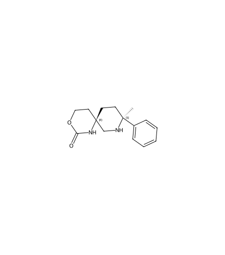 C[C@@]1(c2ccccc2)CC[C@@]2(CCOC(=O)N2)CN1